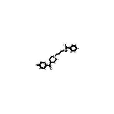 O=C(NCCCN1CCC(C(=O)c2ccc(F)cc2)CC1)c1ccccc1